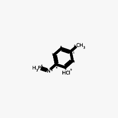 Cc1ccc(N=[PH3])cc1.Cl